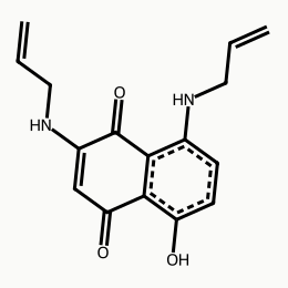 C=CCNC1=CC(=O)c2c(O)ccc(NCC=C)c2C1=O